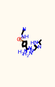 CC1C=NC(CN(N)/N=C(\N)c2ccc([S+]([O-])NCC#N)cc2)=CN1